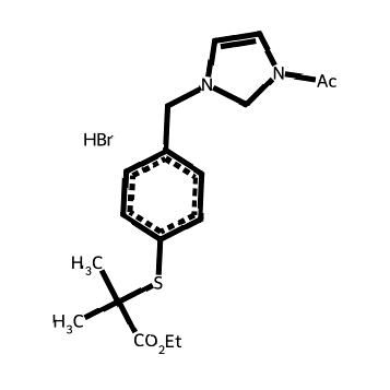 Br.CCOC(=O)C(C)(C)Sc1ccc(CN2C=CN(C(C)=O)C2)cc1